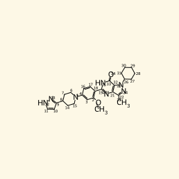 COc1cc(N2CCC(c3cc[nH]n3)CC2)ccc1-c1nc2c(C)nn(C3CCCCC3)c2c(=O)[nH]1